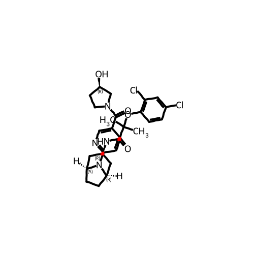 CC(C)(Oc1ccc(Cl)cc1Cl)C(=O)N[C@H]1C[C@H]2CC[C@@H](C1)N2c1ccc(C(=O)N2CC[C@@H](O)C2)cn1